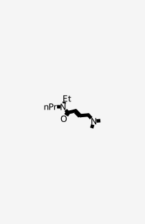 CCCN(CC)C(=O)/C=C/CN(C)C